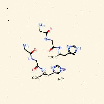 NCC(=O)NCC(=O)N[C@@H](Cc1c[nH]cn1)C(=O)[O-].NCC(=O)NCC(=O)N[C@@H](Cc1c[nH]cn1)C(=O)[O-].[Ni+2]